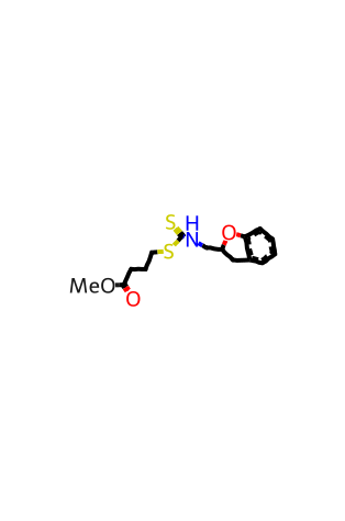 COC(=O)CCCSC(=S)NCC1Cc2ccccc2O1